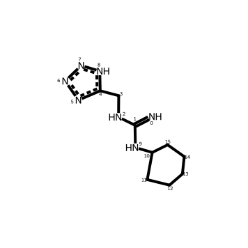 N=C(NCc1nnn[nH]1)NC1CCCCC1